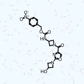 O=C(NC1CN(C(=O)c2coc(N3CC(O)C3)n2)C1)OCc1ccc([N+](=O)[O-])cc1